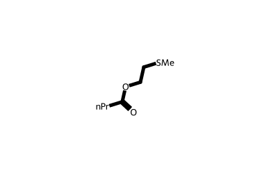 [CH2]CCC(=O)OCCS[CH2]